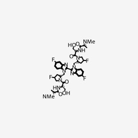 CN[C@H](C)C(=O)N[C@H](CO)C(=O)N1CC(F)C[C@H]1Cn1c(-c2nc3cc(F)ccc3n2C[C@@H]2CC(F)CN2C(=O)[C@@H](CO)NC(=O)[C@@H](C)NC)nc2cc(F)ccc21